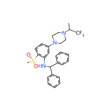 CC(N1CCN(c2ccc(S(C)(=O)=O)c(NC(c3ccccc3)c3ccccc3)c2)CC1)C(F)(F)F